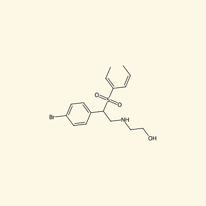 C/C=C\C(=C/C)S(=O)(=O)C(CNCCO)c1ccc(Br)cc1